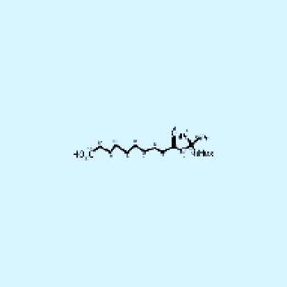 CCCCCCC(OC(=O)CCCCCCCCC(=O)O)(C(C)C)C(C)C